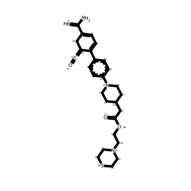 N=C(N)C1=CC=C(c2ccc(N3CCC(CC(=O)OCCN4CCSCC4)CC3)cc2)C(=C=O)C1